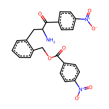 NC(Cc1ccccc1COC(=O)c1ccc([N+](=O)[O-])cc1)C(=O)c1ccc([N+](=O)[O-])cc1